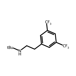 CC(C)(C)NCCc1cc(C(F)(F)F)cc(C(F)(F)F)c1